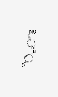 O=NCN1CCN(N=C2C=CC(=O)C=C2)CC1